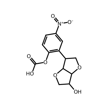 O=C(O)Oc1ccc([N+](=O)[O-])cc1C1COC2C(O)COC12